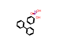 O=[PH](O)O.c1ccc(-c2ccccc2)cc1.c1ccccc1